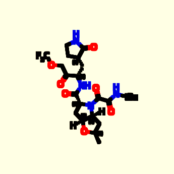 C[C@@H]1C[C@H]2[C@H](C[C@H](C(=O)N[C@@H](C[C@@H]3CCNC3=O)C(=O)COC(F)(F)F)N2C(=O)C(=O)NC(C)(C)C)O1